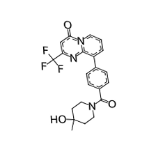 CC1(O)CCN(C(=O)c2ccc(-c3cccn4c(=O)cc(C(F)(F)F)nc34)cc2)CC1